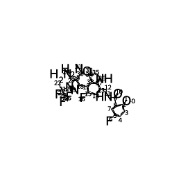 COc1ccc(F)cc1C(=O)NCc1cc(F)c(-c2nn(C(C)C(F)(F)F)c(N)c2C(N)=O)c2cc[nH]c12